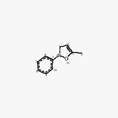 CC1=[C]CN(c2ccccc2)O1